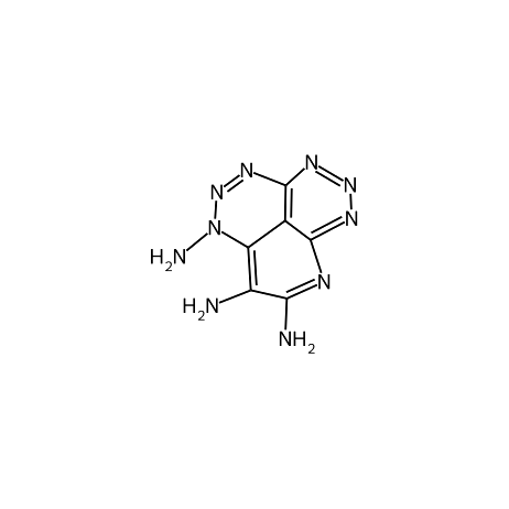 Nc1nc2nnnc3c2c(c1N)N(N)N=N3